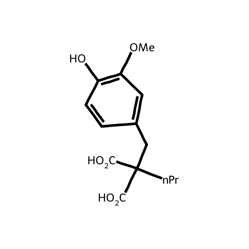 CCCC(Cc1ccc(O)c(OC)c1)(C(=O)O)C(=O)O